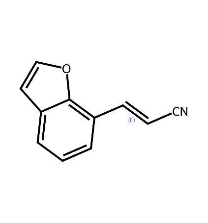 N#C/C=C/c1cccc2ccoc12